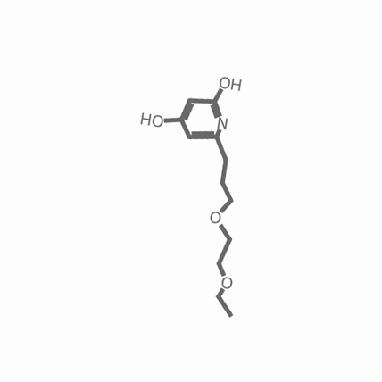 CCOCCOCCCc1cc(O)cc(O)n1